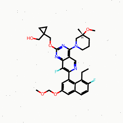 CCc1c(F)ccc2cc(OCOC)cc(-c3ncc4c(N5CCC[C@@](C)(OC)C5)nc(OCC5(CO)CC5)nc4c3F)c12